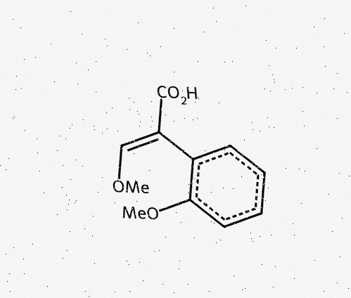 CO/C=C(/C(=O)O)c1ccccc1OC